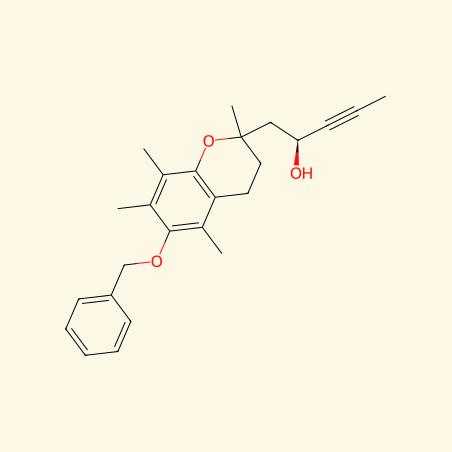 CC#C[C@@H](O)CC1(C)CCc2c(C)c(OCc3ccccc3)c(C)c(C)c2O1